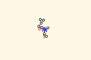 c1ccc(-c2nc(-c3ccc4c(c3)oc3cccc(-c5ccc6c7ccccc7c7ccccc7c6c5)c34)nc(-c3ccc4sc5ccccc5c4c3)n2)cc1